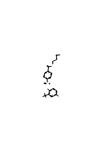 O=C(O)CCNC(=O)c1ccc(S(=O)(=O)Nc2ccc(F)cc2C(F)(F)F)cc1